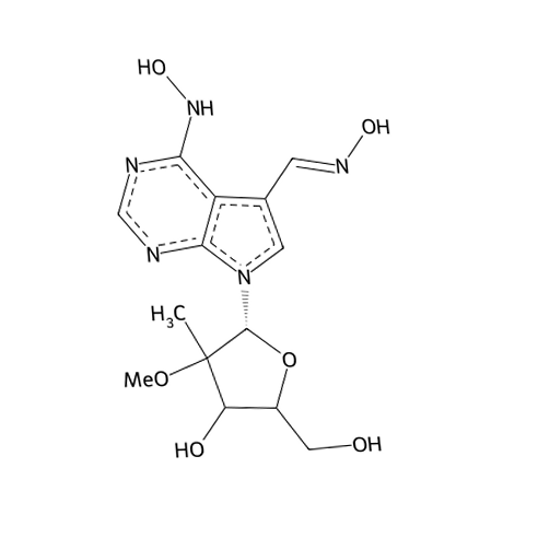 COC1(C)C(O)C(CO)O[C@H]1n1cc(C=NO)c2c(NO)ncnc21